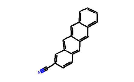 N#Cc1ccc2cc3cc4ccccc4cc3cc2c1